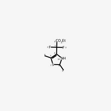 CCOC(=O)C(F)(F)C1=C(C)SC(C)N1